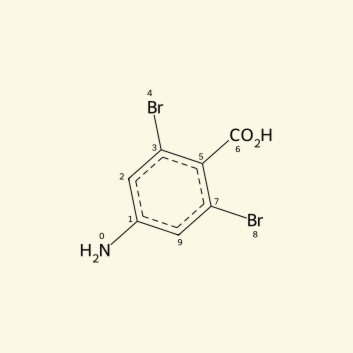 Nc1cc(Br)c(C(=O)O)c(Br)c1